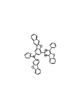 c1ccc(-c2nc(-c3cc(N(c4ccccc4)c4ccc5c(c4)oc4ccccc45)cc4c3oc3cc5ccccc5cc34)nc3c2sc2ccccc23)cc1